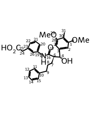 COc1cc([C@@H](O)[C@@H](CCCc2ccccc2)C(=O)Nc2cccc(CC(=O)O)c2)cc(OC)c1C